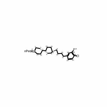 CCCCC[Si@H]1CC[C@H]([C@H]2CC[C@H](CCCCc3ccc(Cl)c(F)c3)CC2)CC1